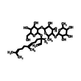 C=CC(C)(CC/C=C(\C)CCC=C(C)C)OC1OC(CO)C(O)C(O)C1OC1OC(C)C(OC2OC(C)C(O)C(O)C2O)C(O)C1O